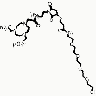 O=[C]CCOCCOCCOCCOCCNC(=O)CCSC1CC(=O)N(CCNC(=O)CN2CCN(CC(=O)O)CCN(CC(=O)O)CC2)C1=O